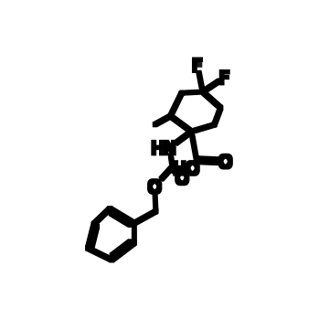 CC1CC(F)(F)CCC1(NC(=O)OCc1ccccc1)C(=O)O